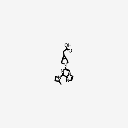 CC1CCN1c1nc(N2CC3C(CC(=O)O)C3C2)cn2ccnc12